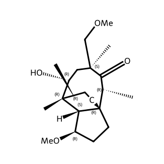 COC[C@]1(C)C[C@@H](O)[C@]2(C)[C@H](C)CC[C@]3(CC[C@@H](OC)[C@@H]32)[C@@H](C)C1=O